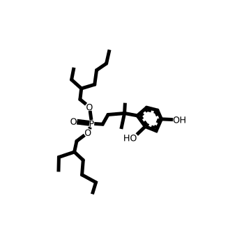 CCCCC(CC)COP(=O)(CCC(C)(C)c1ccc(O)cc1O)OCC(CC)CCCC